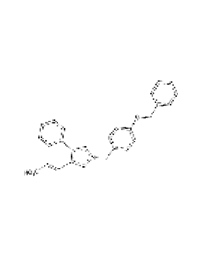 O=C(O)C=Cc1cn(Cc2ccc(OCc3ccccc3)cc2)cc1-c1ccccc1